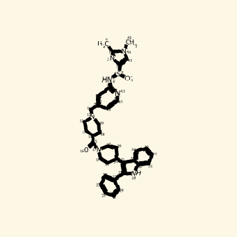 Cc1nc([S+]([O-])Nc2cc(CN3CCC(C(=O)N4CCC(c5c(-c6ccccc6)[nH]c6ccccc56)CC4)CC3)ccn2)cn1C